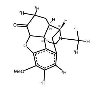 [2H]c1c([2H])c(OC)c2c3c1C[C@@H]1[C@@H]4CC([2H])([2H])C(=O)C(O2)[C@]34CCN1C([2H])([2H])[2H]